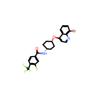 O=C(N[C@H]1CC[C@H](Oc2ccnc3c(Br)cccc23)CC1)c1ccc(C(F)(F)F)c(F)c1